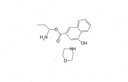 C1COCCN1.CCC(N)OC(=O)c1cc(O)c2ccccc2c1